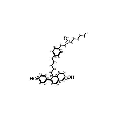 CCCCCC[S+]([O-])CCc1ccc(CCCCCc2c(-c3ccc(O)cc3)ccc3cc(O)ccc23)cc1